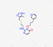 Cc1[nH]cnc1CSCCNc1nccc(=O)n1OCCCc1cccnc1